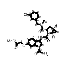 COC(=O)COc1ccc2c(NC(=O)N3[C@@H]4C[C@@H]4C[C@H]3C(=O)N(F)Cc3cccc(Cl)c3)cn(C(N)=O)c2c1